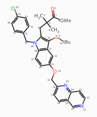 COC(=O)C(C)(C)Cc1c(SC(C)(C)C)c2cc(OCc3ccc4cnccc4n3)ccc2n1Cc1ccc(Cl)cc1